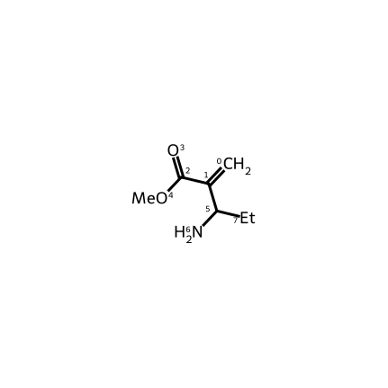 C=C(C(=O)OC)C(N)CC